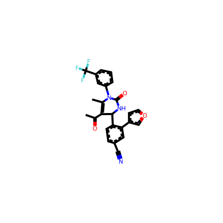 CC(=O)C1=C(C)N(c2cccc(C(F)(F)F)c2)C(=O)NC1c1ccc(C#N)cc1-c1ccoc1